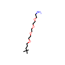 CC(C)(C)CCCOCCOCCOCCOCCN